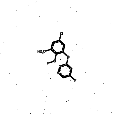 O=C(O)c1cc(Cl)cc(Oc2cncc(F)c2)c1OF